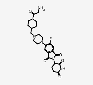 NCC(=O)N1CCC(CN2CCN(c3cc4c(cc3F)C(=O)N(C3CCC(=O)NC3=O)C4=O)CC2)CC1